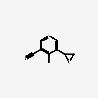 Cc1c(C#N)cncc1C1CO1